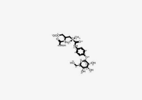 CCCCCCCCCC(=O)OC(CC(=O)[O-])C[N+](C)(C)C(=O)Nc1ccc(O[C@H]2O[C@H](CO)[C@@H](O)[C@H](O)[C@H]2O)cc1